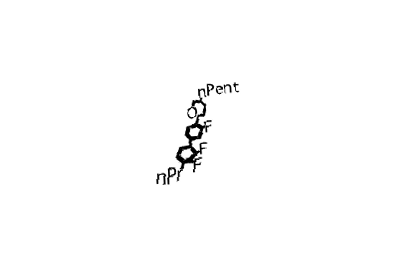 CCCCCC1CCC(c2ccc(-c3ccc(CCC)c(F)c3F)cc2F)OC1